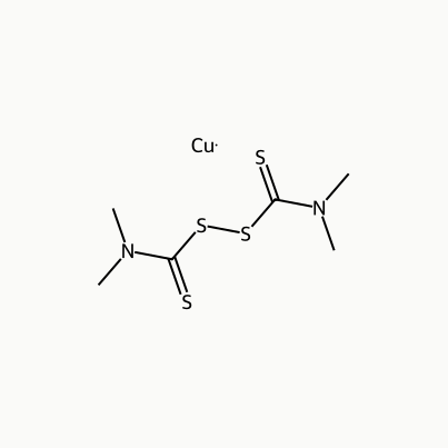 CN(C)C(=S)SSC(=S)N(C)C.[Cu]